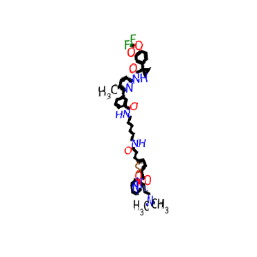 Cc1ccc(NC(=O)C2(c3ccc4c(c3)OC(F)(F)O4)CC2)nc1-c1cccc(C(=O)NCCCCCCNC(=O)CCc2ccc(C(=O)N3CC4CC(C3)N4C(=O)/C=C/CN(C)C)s2)c1